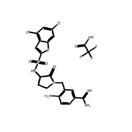 N=C(N)c1ccc(N)c(CN2CCC(NS(=O)(=O)c3cc4c(Cl)cc(Cl)cc4s3)C2=O)c1.O=C(O)C(F)(F)F